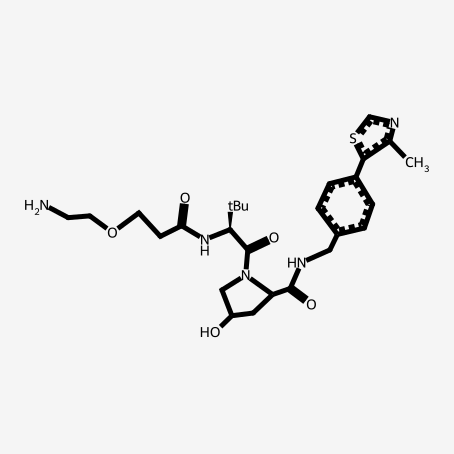 Cc1ncsc1-c1ccc(CNC(=O)C2CC(O)CN2C(=O)[C@@H](NC(=O)CCOCCN)C(C)(C)C)cc1